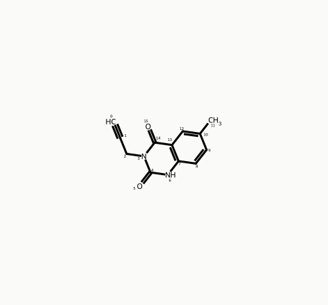 C#CCn1c(=O)[nH]c2ccc(C)cc2c1=O